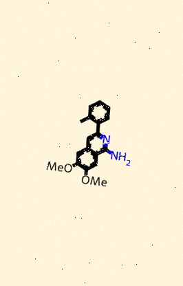 COc1cc2cc(-c3ccccc3C)nc(N)c2cc1OC